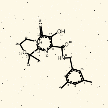 Cc1cc(C)cc(CNC(=O)c2nc3n(c(=O)c2O)CCOC3(C)C)c1